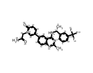 Cc1nc(N[C@H](C)c2cccc(C(F)(F)F)c2)c2cc(-c3ccc(=O)n(CC(N)=O)c3)ccc2n1